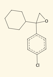 Clc1ccc(C2(C3CCCCC3)CO2)cc1